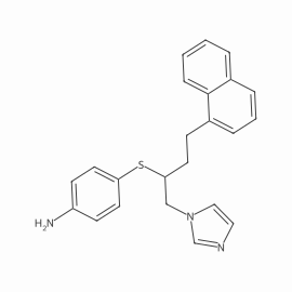 Nc1ccc(SC(CCc2cccc3ccccc23)Cn2ccnc2)cc1